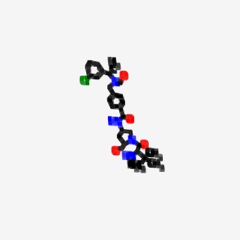 CNC(C(=O)N1CC(NC(=O)c2ccc(CN(C=O)C(C)c3cccc(Cl)c3)cc2)CC1C=O)C(C)(C)C